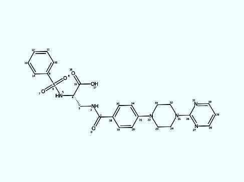 O=C(NC[C@H](NS(=O)(=O)c1ccccc1)C(=O)O)c1ccc(N2CCN(c3ncccn3)CC2)cc1